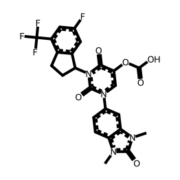 Cn1c(=O)n(C)c2cc(-n3cc(OC(=O)O)c(=O)n(C4CCc5c4cc(F)cc5C(F)(F)F)c3=O)ccc21